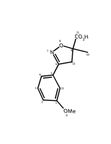 COc1cccc(C2=NOC(C)(C(=O)O)C2)c1